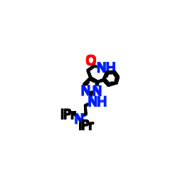 CC(C)N(CCNc1ncc2c(n1)-c1ccccc1NC(=O)C2)C(C)C